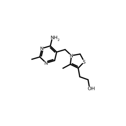 CC1=C(CCO)SCN1Cc1cnc(C)nc1N